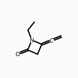 C=C=C1CC(=O)N1CC